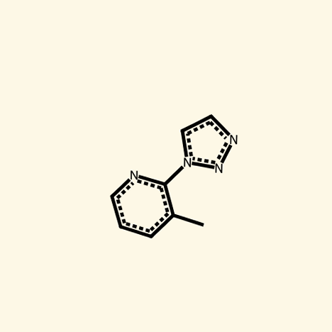 Cc1cccnc1-n1ccnn1